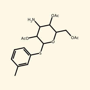 CC(=O)OCC1OC(Sc2cccc(C)c2)C(OC(C)=O)C(N)C1OC(C)=O